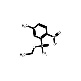 CCOP(C)(=O)c1cc(C)ccc1[N+](=O)[O-]